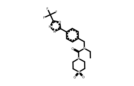 CCN(Cc1ccc(-c2nnc(C(F)(F)F)o2)cc1)C(=O)N1CCS(=O)(=O)CC1